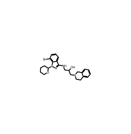 OC(CNc1nn(C2CCCCO2)c2c(Br)cccc12)CN1CCc2ccccc2C1